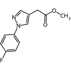 COC(=O)Cc1cnn(-c2ccc(F)cc2)c1